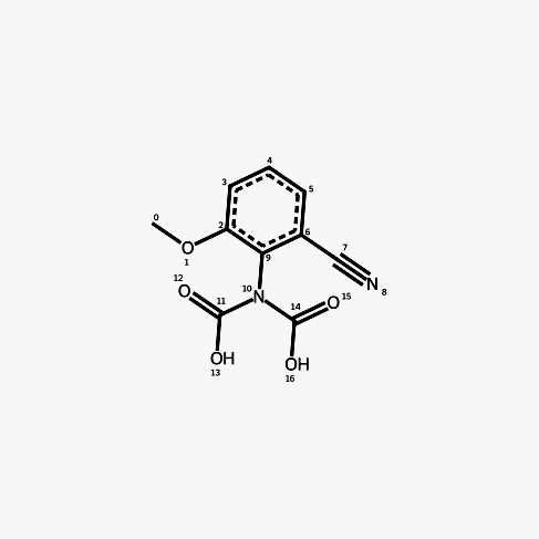 COc1cccc(C#N)c1N(C(=O)O)C(=O)O